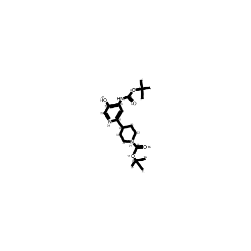 CC(C)(C)OC(=O)Nc1cc(C2CCN(C(=O)OC(C)(C)C)CC2)ncc1O